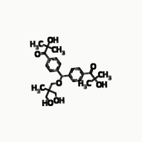 CC(CO)(CO)COC(c1ccc(C(=O)C(C)(C)O)cc1)c1ccc(C(=O)C(C)(C)O)cc1